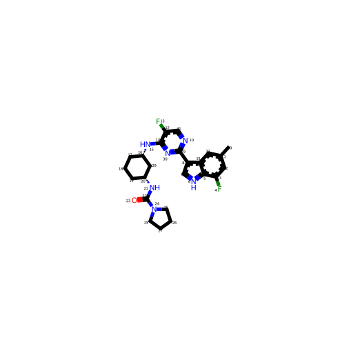 Cc1cc(F)c2[nH]cc(-c3ncc(F)c(N[C@H]4CCC[C@@H](NC(=O)N5CCCC5)C4)n3)c2c1